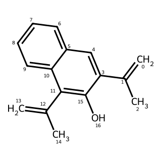 C=C(C)c1cc2ccccc2c(C(=C)C)c1O